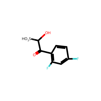 O=C(c1ccc(F)cc1F)C(O)S(=O)(=O)O